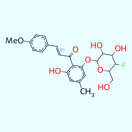 COc1ccc(/C=C/C(=O)c2c(O)cc(C)cc2OC2OC(CO)C(F)C(O)C2O)cc1